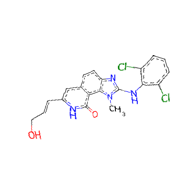 Cn1c(Nc2c(Cl)cccc2Cl)nc2ccc3cc(/C=C/CO)[nH]c(=O)c3c21